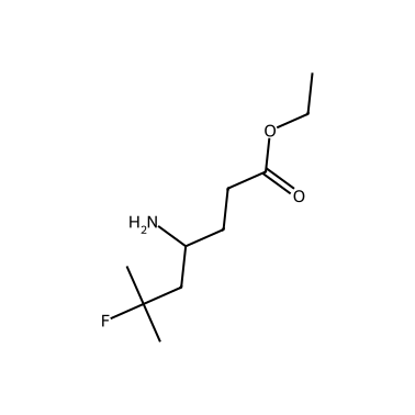 CCOC(=O)CCC(N)CC(C)(C)F